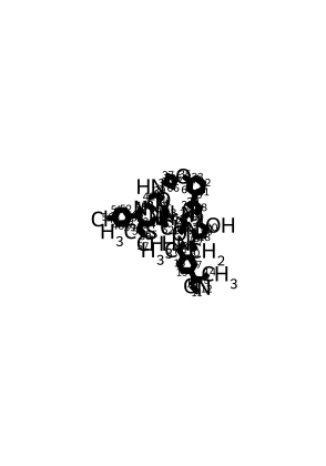 C=C(N[C@@H](C)c1ccc(-c2ocnc2C)cc1)[C@@H]1C[C@@H](O)CN1C(=O)[C@H](C(C)C)n1cc(-c2cccc(O[C@H]3C[C@@H](NC(=O)C[C@@H]4N=C(c5ccc(Cl)cc5)c5c(sc(C)c5C)-n5c(C)nnc54)C3)c2)cn1